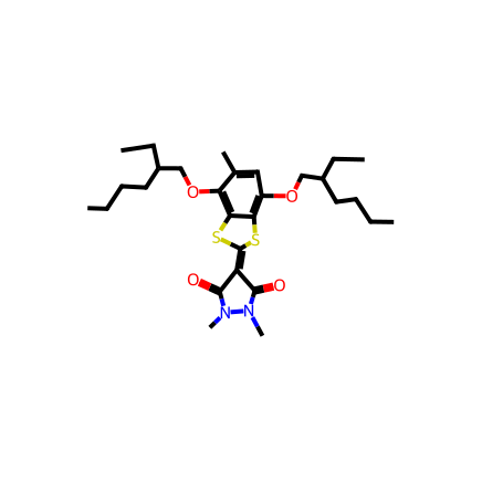 CCCCC(CC)COc1cc(C)c(OCC(CC)CCCC)c2c1SC(=C1C(=O)N(C)N(C)C1=O)S2